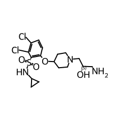 NC[C@H](O)CN1CCC(Oc2ccc(Cl)c(Cl)c2S(=O)(=O)NC2CC2)CC1